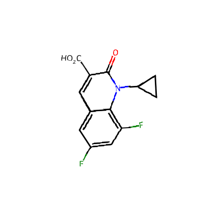 O=C(O)c1cc2cc(F)cc(F)c2n(C2CC2)c1=O